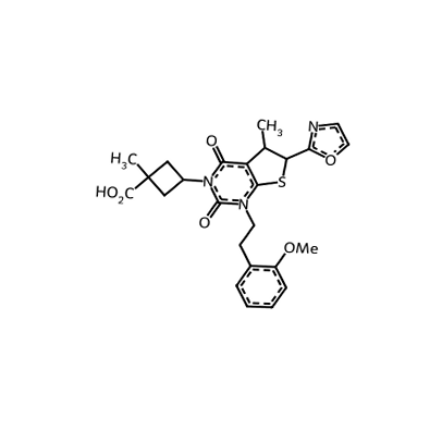 COc1ccccc1CCn1c2c(c(=O)n(C3CC(C)(C(=O)O)C3)c1=O)C(C)C(c1ncco1)S2